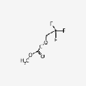 COC(=O)COCC(F)(F)F